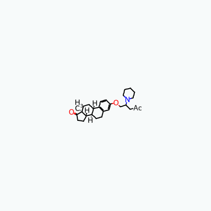 CC(=O)CC(COc1ccc2c(c1)CC[C@@H]1[C@@H]2CC[C@]2(C)C(=O)CC[C@@H]12)N1CCCCC1